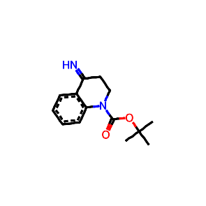 CC(C)(C)OC(=O)N1CCC(=N)c2ccccc21